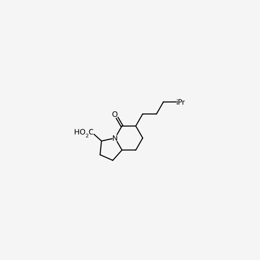 CC(C)CCCC1CCC2CCC(C(=O)O)N2C1=O